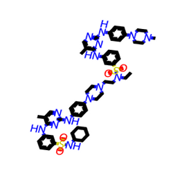 CCN(CCN1CCN(c2ccc(Nc3ncc(C)c(Nc4cccc(S(=O)(=O)NC5CCCCC5)c4)n3)cc2)CC1)S(=O)(=O)c1cccc(Nc2nc(Nc3ccc(N4CCN(C)CC4)cc3)ncc2C)c1